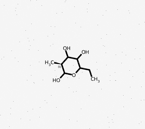 CCC1OC(O)[C@@H](C)C(O)C1O